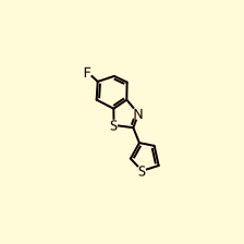 Fc1ccc2nc(-c3ccsc3)sc2c1